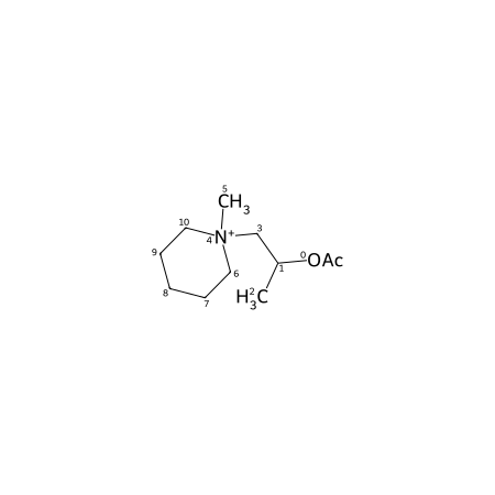 CC(=O)OC(C)C[N+]1(C)CCCCC1